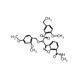 CCc1ccc(OC)c(S(=O)(=O)N(OCc2ccc(OC)cc2OC)c2noc3c(C(=O)NC)cccc23)c1